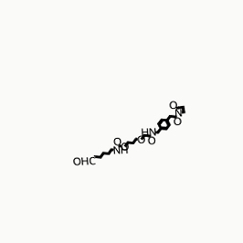 O=CCCCCCNC(=O)OCCCOCC(=O)NCc1ccc(CC(=O)N2CCC2=O)cc1